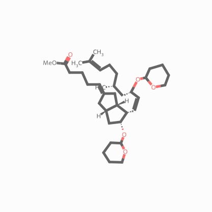 COC(=O)CCC/C=C1\C[C@H]2C[C@@H](OC3CCCCO3)[C@@H](/C=C\[C@H](C[C@H](C)CCC=C(C)C)OC3CCCCO3)[C@H]2C1